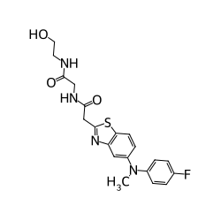 CN(c1ccc(F)cc1)c1ccc2sc(CC(=O)NCC(=O)NCCO)nc2c1